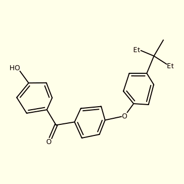 CCC(C)(CC)c1ccc(Oc2ccc(C(=O)c3ccc(O)cc3)cc2)cc1